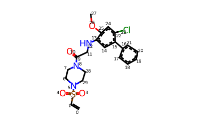 C=CS(=O)(=O)N1CCN(C(=O)CNc2cc(-c3ccccc3)c(Cl)cc2OC)CC1